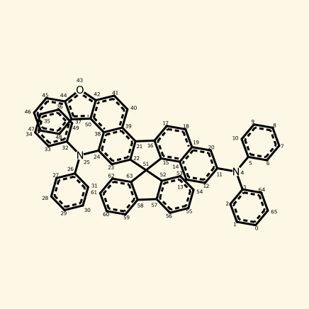 c1ccc(N(c2ccccc2)c2ccc3c4c(ccc3c2)-c2c(cc(N(c3ccccc3)c3ccccc3)c3c2ccc2oc5ccccc5c23)C42c3ccccc3-c3ccccc32)cc1